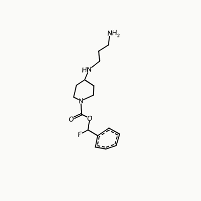 NCCCNC1CCN(C(=O)OC(F)c2ccccc2)CC1